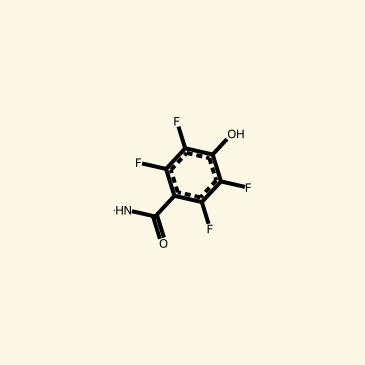 [NH]C(=O)c1c(F)c(F)c(O)c(F)c1F